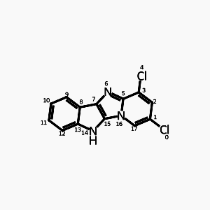 Clc1cc(Cl)c2nc3c4ccccc4[nH]c3n2c1